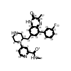 CNC(=O)c1cc(N2CCNCC2Cc2cc(-c3cccc(F)c3)c3nc(C)c(=O)[nH]c3c2)ccn1